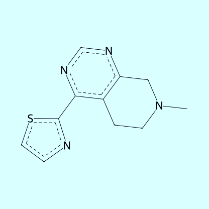 CN1CCc2c(ncnc2-c2nccs2)C1